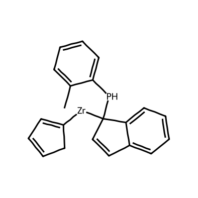 Cc1ccccc1P[C]1([Zr][C]2=CC=CC2)C=Cc2ccccc21